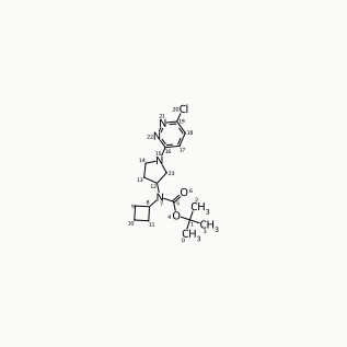 CC(C)(C)OC(=O)N(C1CCC1)C1CCN(c2ccc(Cl)nn2)C1